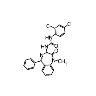 CN1C(=O)[C@H](NC(=O)Nc2ccc(Cl)cc2Cl)N=C(c2ccccc2)c2ccccc21